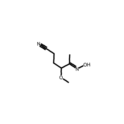 COC(CCC#N)C(C)=NO